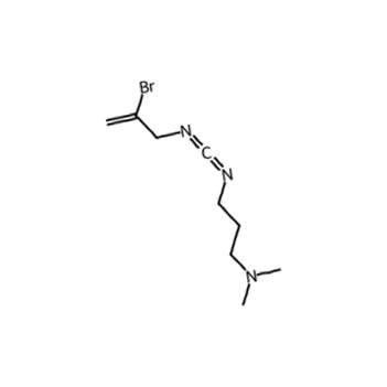 C=C(Br)CN=C=NCCCN(C)C